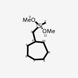 CO[Si](C)([CH]C1CCCCCC1)OC